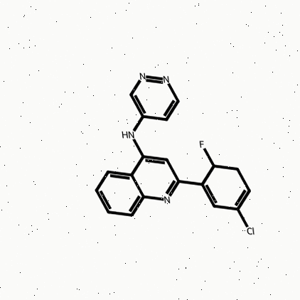 FC1CC=C(Cl)C=C1c1cc(Nc2ccnnc2)c2ccccc2n1